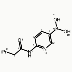 CC(C)CC(=O)Nc1ccc(B(O)O)cn1